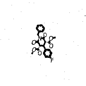 COC(=O)[C@@H]1C(=O)N(Cc2ccccc2)C(=O)[C@H](C(=O)OC)C1c1ccc(F)cc1